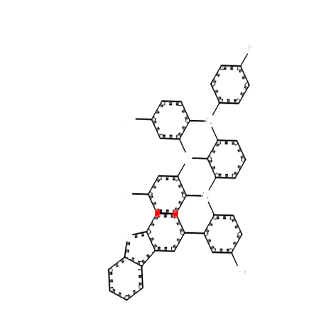 CCc1ccc(N2c3ccc(CC)cc3B3c4cc(CC)ccc4N(c4ccc(CC)cc4-c4ccc5oc6ccccc6c5c4)c4cccc2c43)cc1